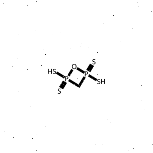 S=P1(S)CP(=S)(S)O1